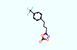 O=c1onc(CCCc2ccc(C(F)(F)F)cc2)o1